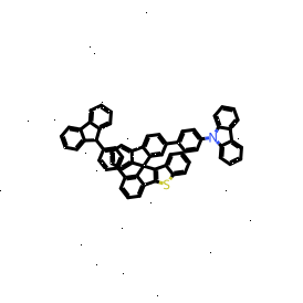 c1ccc2c(c1)-c1ccccc1C2c1ccc(-c2cccc3c2C2(c4ccccc4-c4ccc(-c5ccc(-n6c7ccccc7c7ccccc76)cc5)cc42)c2c-3sc3ccccc23)cc1